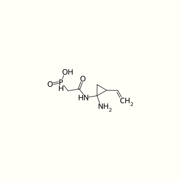 C=CC1CC1(N)NC(=O)C[PH](=O)O